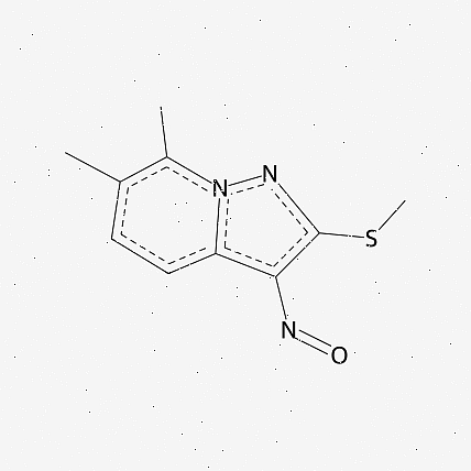 CSc1nn2c(C)c(C)ccc2c1N=O